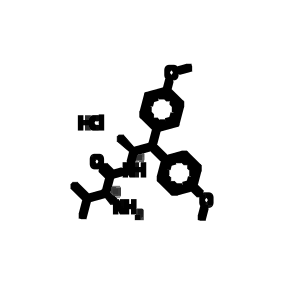 COc1ccc(C(c2ccc(OC)cc2)[C@H](C)NC(=O)[C@@H](N)C(C)C)cc1.Cl